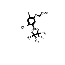 COCOc1cc(B2OC(C)(C)C(C)(C)O2)c(C=O)cc1F